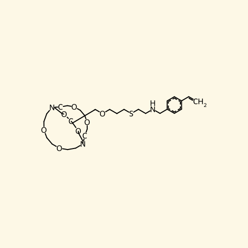 C=Cc1ccc(CNCCSCCCOCC2COCCN3CCOCCOCCN(CCOCCOCC3)CCO2)cc1